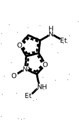 CCNc1coc2c1oc(NCC)[n+]2[O-]